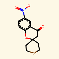 O=C1CC2(CCSCC2)Oc2ccc([N+](=O)[O-])cc21